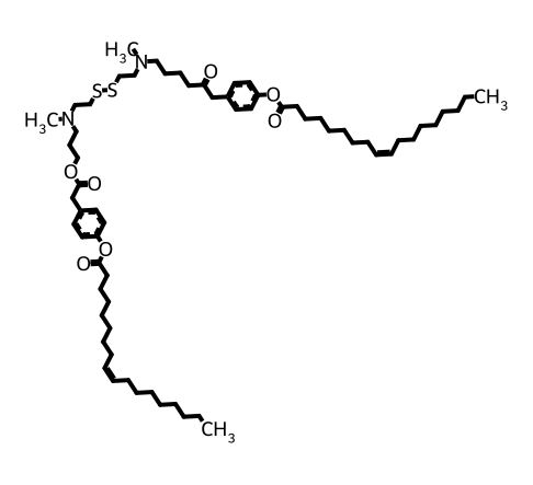 CCCCCCCC/C=C\CCCCCCCC(=O)Oc1ccc(CC(=O)CCCCN(C)CCSSCCN(C)CCCOC(=O)Cc2ccc(OC(=O)CCCCCCC/C=C\CCCCCCCC)cc2)cc1